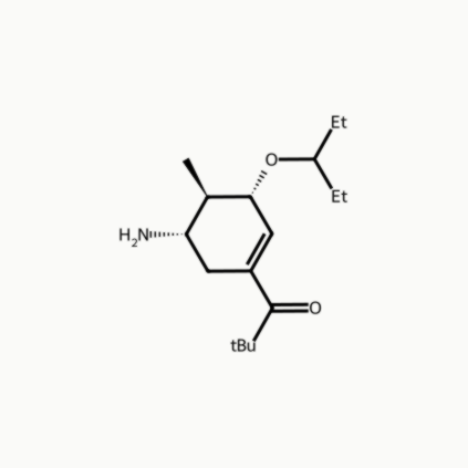 CCC(CC)O[C@@H]1C=C(C(=O)C(C)(C)C)C[C@H](N)[C@H]1C